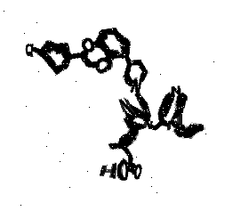 CCn1cncc1Cn1c(/C=C(\C)C(=O)O)cnc1CN1CCC(c2cccc3c2OCC(c2ccc(Cl)cc2)O3)CC1